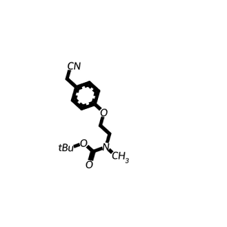 CN(CCOc1ccc(CC#N)cc1)C(=O)OC(C)(C)C